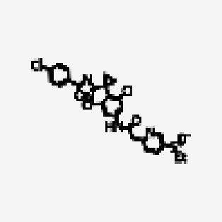 CC[S+]([O-])c1ccc(CC(=O)Nc2cc(Cl)c(C3(c4noc(-c5ccc(Cl)cc5)n4)CC3)c(Cl)c2)nc1